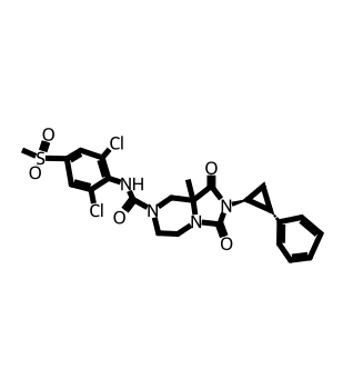 CC12CN(C(=O)Nc3c(Cl)cc(S(C)(=O)=O)cc3Cl)CCN1C(=O)N([C@H]1C[C@@H]1c1ccccc1)C2=O